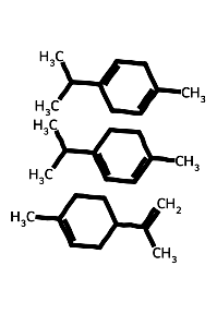 C=C(C)C1CC=C(C)CC1.CC1=CC=C(C(C)C)CC1.CC1=CCC(C(C)C)=CC1